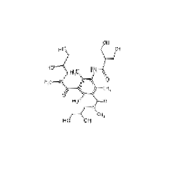 Cc1c(NC(=O)C(CO)CO)c(C)c(C(=O)N(C)CC(O)CO)c(C)c1C(=O)N(C)CC(O)CO